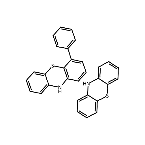 c1ccc(-c2cccc3c2Sc2ccccc2N3)cc1.c1ccc2c(c1)Nc1ccccc1S2